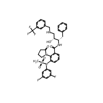 CS(=O)(=O)N(c1cc(F)cc(F)c1)c1cccc(C(=O)N[C@@H](Cc2ccccc2)[C@H](O)CNCc2cccc(C(F)(F)F)c2)c1N1CCCC1=O